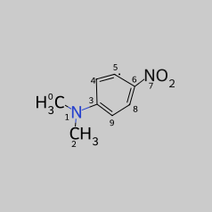 CN(C)c1c[c]c([N+](=O)[O-])cc1